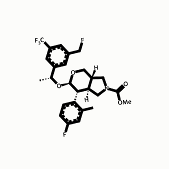 COC(=O)N1C[C@H]2CO[C@H](O[C@H](C)c3cc(CF)cc(C(F)(F)F)c3)[C@@H](c3ccc(F)cc3C)[C@@H]2C1